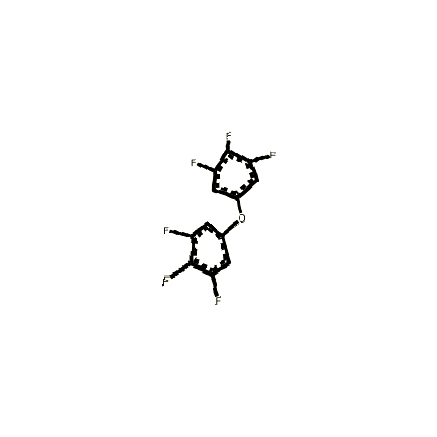 Fc1cc(Oc2cc(F)c(F)c(F)c2)cc(F)c1F